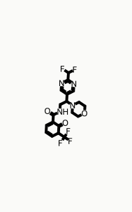 O=C(NCC(c1cnc(C(F)F)nc1)N1CCOCC1)C1=CC=CC(C(F)(F)F)C1=O